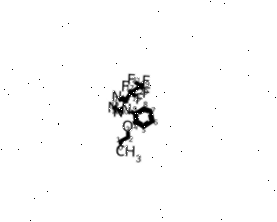 CCCOc1ccccc1-n1nnnc1C(F)(F)C(F)(F)F